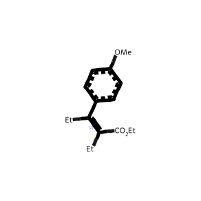 CCOC(=O)/C(CC)=C(/CC)c1ccc(OC)cc1